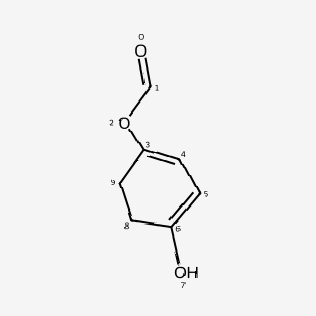 O=COC1=CC=C(O)CC1